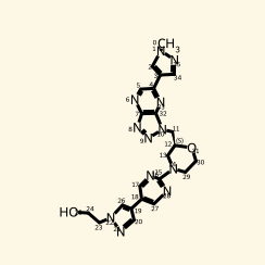 Cn1cc(-c2cnc3nnn(C[C@@H]4CN(c5ncc(-c6cnn(CCO)c6)cn5)CCO4)c3n2)cn1